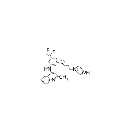 Cc1cc(Nc2cc(OCCCN3CC4CC3CN4)cc(C(F)(F)F)c2)c2ccccc2n1